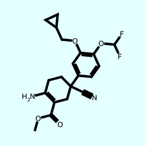 COC(=O)C1=C(N)CCC(C#N)(c2ccc(OC(F)F)c(OCC3CC3)c2)C1